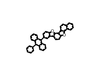 c1ccc(-c2c3ccccc3c(-c3ccc4oc5c(ccc6oc7c8ccccc8ccc7c65)c4c3)c3ccccc23)cc1